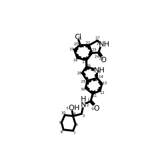 O=C(NCC1(O)CCCCC1)c1ccc2[nH]c(-c3ccc(Cl)c4c3C(=O)NC4)cc2c1